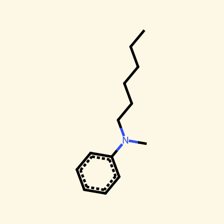 CCCCCCN(C)c1ccccc1